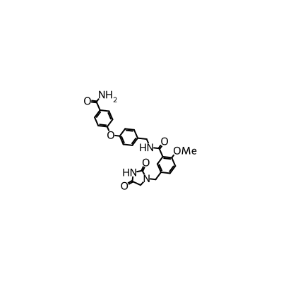 COc1ccc(CN2CC(=O)NC2=O)cc1C(=O)NCc1ccc(Oc2ccc(C(N)=O)cc2)cc1